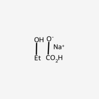 CCO.O=C([O-])O.[Na+]